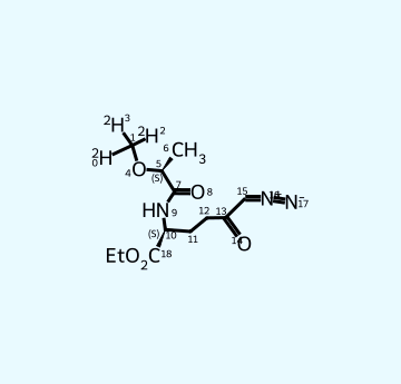 [2H]C([2H])([2H])O[C@@H](C)C(=O)N[C@@H](CCC(=O)C=[N+]=[N-])C(=O)OCC